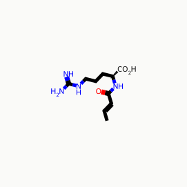 CC=CC(=O)N[C@@H](CCCNC(=N)N)C(=O)O